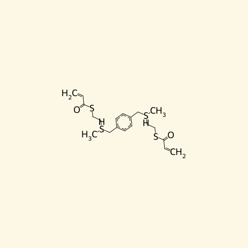 C=CC(=O)SCC[SH](C)Cc1ccc(C[SH](C)CCSC(=O)C=C)cc1